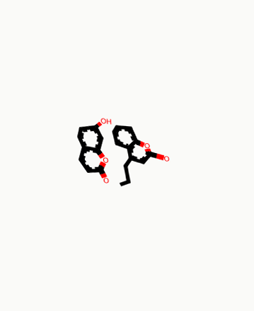 CCCc1cc(=O)oc2ccccc12.O=c1ccc2ccc(O)cc2o1